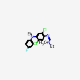 CCN(C)/C=N\c1cc(Cl)c(N(CC)c2ccc(F)cc2)cc1Cl